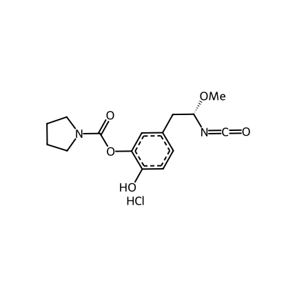 CO[C@@H](Cc1ccc(O)c(OC(=O)N2CCCC2)c1)N=C=O.Cl